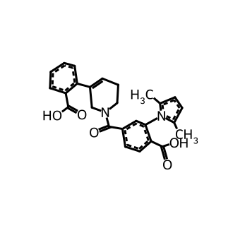 Cc1ccc(C)n1-c1cc(C(=O)N2CCC=C(c3ccccc3C(=O)O)C2)ccc1C(=O)O